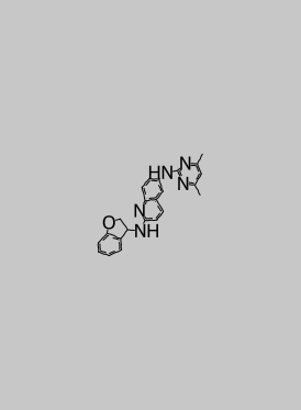 Cc1cc(C)nc(Nc2ccc3nc(NC4COc5ccccc54)ccc3c2)n1